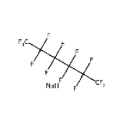 FC(F)(F)C(F)(F)C(F)(F)C(F)(F)C(F)(F)C(F)(F)F.[NaH]